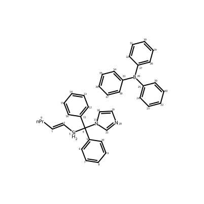 CCCC=C[SiH2]C(c1ccccc1)(c1ccccc1)n1ccnc1.c1ccc(B(c2ccccc2)c2ccccc2)cc1